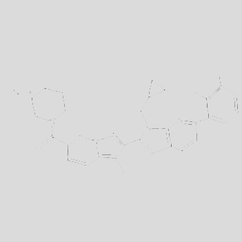 Cc1c(-c2cc3ccc(-c4cccc(O)c4F)nc3n2CC2CC2)nn2cc(C(=O)N3CCC[C@@H](N)C3)ccc12